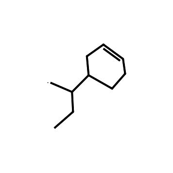 [CH2]C(CC)C1CC=CCC1